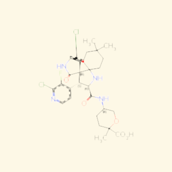 CC1(C)CCC2(CC1)N[C@@H](C(=O)N[C@@H]1CCC(C)(C(=O)O)OC1)[C@H](c1ccnc(Cl)c1F)[C@]21C(=O)Nc2cc(Cl)ccc21